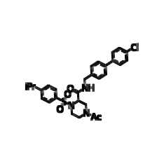 CC(=O)N1CCN(S(=O)(=O)c2ccc(C(C)C)cc2)C(C(=O)NCc2ccc(-c3ccc(Cl)cc3)cc2)C1